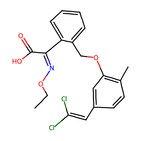 CCON=C(C(=O)O)c1ccccc1COc1cc(C=C(Cl)Cl)ccc1C